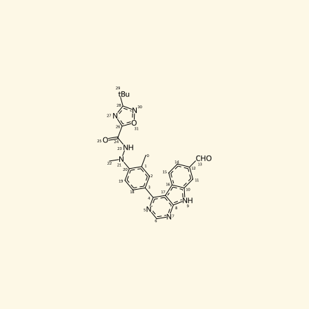 Cc1cc(-c2ncnc3[nH]c4cc(C=O)ccc4c23)ccc1N(C)NC(=O)c1nc(C(C)(C)C)no1